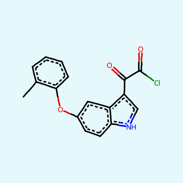 Cc1ccccc1Oc1ccc2[nH]cc(C(=O)C(=O)Cl)c2c1